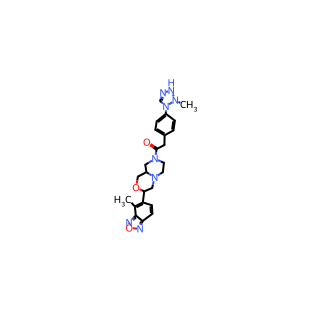 Cc1c(C2CN3CCN(C(=O)Cc4ccc(N5C=NNN5C)cc4)CC3CO2)ccc2nonc12